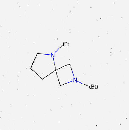 CC(C)N1CCCC12CN(C(C)(C)C)C2